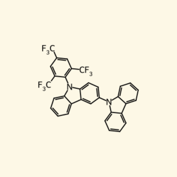 FC(F)(F)c1cc(C(F)(F)F)c(-n2c3ccccc3c3cc(-n4c5ccccc5c5ccccc54)ccc32)c(C(F)(F)F)c1